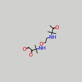 CC(=O)C(C)(C)NCCONC(C)(C)C(=O)C=O